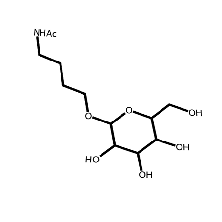 CC(=O)NCCCCOC1OC(CO)C(O)C(O)C1O